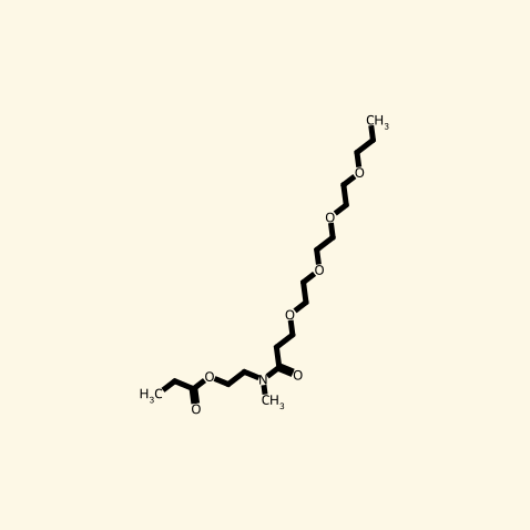 CCCOCCOCCOCCOCCC(=O)N(C)CCOC(=O)CC